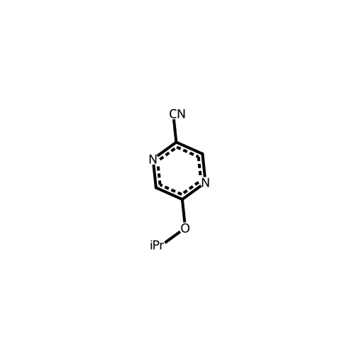 CC(C)Oc1cnc(C#N)cn1